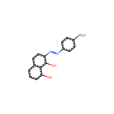 O=S(=O)(O)c1ccc(N=Nc2ccc3cccc(O)c3c2O)cc1